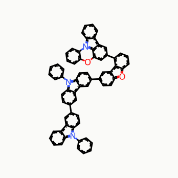 c1ccc(-n2c3ccccc3c3cc(-c4ccc5c(c4)c4cc(-c6ccc7oc8cccc(-c9cc%10c%11c(c9)c9ccccc9n%11-c9ccccc9O%10)c8c7c6)ccc4n5-c4ccccc4)ccc32)cc1